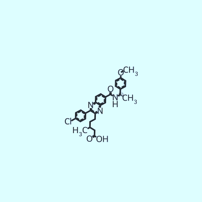 COc1ccc([C@H](C)NC(=O)c2ccc3nc(-c4ccc(Cl)cc4)c(CCC(C)CC(=O)O)nc3c2)cc1